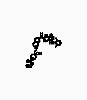 Cc1cccc(C)c1Nc1nn(C)c2nc(Nc3ccc4c(c3)CN(CCC3(O)CCN(C(=O)OC(C)(C)C)CC3)CC4)ncc12